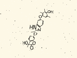 COC(=O)C(C)(O)c1ccc(OC(C)c2nc3ccc(Oc4cc(C)c(O)c(C)c4C)cc3[nH]2)cc1